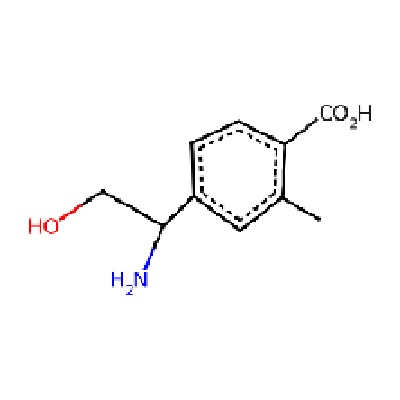 Cc1cc(C(N)CO)ccc1C(=O)O